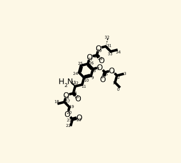 CCC(C)OC(=O)Oc1cc(C[C@H](N)C(=O)OC(C)COC(C)=O)ccc1OC(=O)O[C@H](C)CC